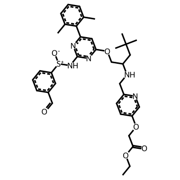 CCOC(=O)COc1ccc(CNC(COc2cc(-c3c(C)cccc3C)nc(N[S+]([O-])c3cccc(C=O)c3)n2)CC(C)(C)C)nc1